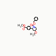 COC(=O)c1ccc(C2CC(OC)CCN2C(=O)OCc2ccccc2)cc1